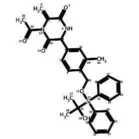 C=C1C(=O)NC(c2ccc(CO[Si](c3ccccc3)(c3ccccc3)C(C)(C)C)c(C)c2)C(=O)N1C(C)=O